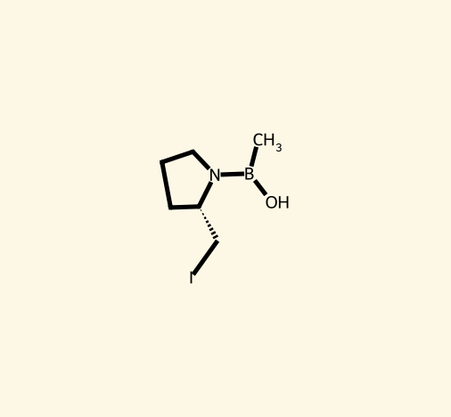 CB(O)N1CCC[C@H]1CI